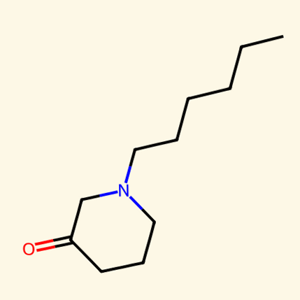 CCCCCCN1CCCC(=O)C1